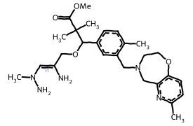 COC(=O)C(C)(C)C(OC/C(N)=C/N(C)N)c1ccc(C)c(CN2CCOc3ccc(C)nc3C2)c1